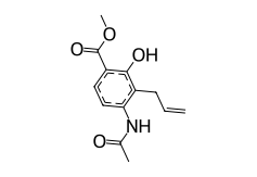 C=CCc1c(NC(C)=O)ccc(C(=O)OC)c1O